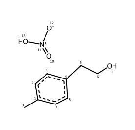 Cc1ccc(CCO)cc1.O=[N+]([O-])O